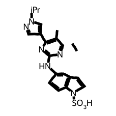 CC.Cc1cnc(Nc2ccc3c(ccn3S(=O)(=O)O)c2)nc1-c1cnn(C(C)C)c1